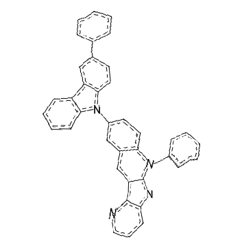 c1ccc(-c2ccc3c(c2)c2ccccc2n3-c2ccc3c(c2)cc2c4ncccc4nc-2n3-c2ccccc2)cc1